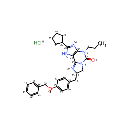 CCCN1C(=O)N2C[C@@H](Cc3ccc(OCc4ccccc4)cc3)N=C2c2[nH]c(C3CCCC3)nc21.Cl